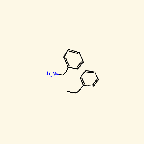 CCc1ccccc1.NCc1ccccc1